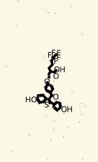 O=C(c1ccc(OCCC(CCCC(F)(F)C(F)(F)F)C(=O)O)cc1)c1c(-c2ccc(O)cc2)sc2cc(O)ccc12